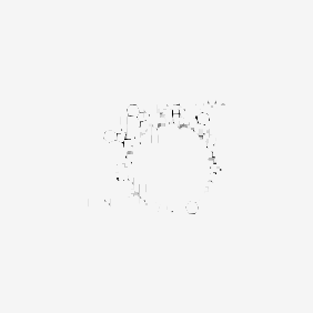 COc1ccc(C[C@H]2NC(=O)[C@@H](Cc3c[nH]cn3)NC(=O)[C@@H](CC(=O)O)NC(=O)[C@@H](Cc3c[nH]c4ccc(F)cc34)NC(=O)[C@@H](Cc3c[nH]c4ccc(F)cc34)NC(=O)C(C(C)(C)C)NC(=O)[C@@H](CCCCN)NC(=O)CCSCc3cccc(c3)CSCCNC(=O)[C@@]3(C)CCCN3C2=O)cc1